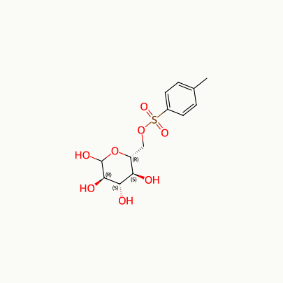 Cc1ccc(S(=O)(=O)OC[C@H]2OC(O)[C@H](O)[C@@H](O)[C@@H]2O)cc1